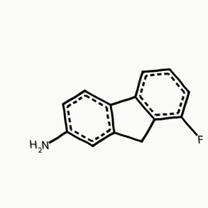 Nc1ccc2c(c1)Cc1c(F)cccc1-2